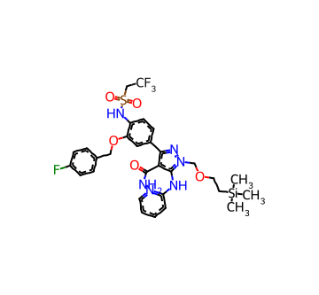 C[Si](C)(C)CCOCn1nc(-c2ccc(NS(=O)(=O)CC(F)(F)F)c(OCc3ccc(F)cc3)c2)c(C(N)=O)c1Nc1ccccn1